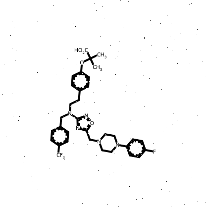 CC(C)(Oc1ccc(CCN(Cc2ccc(C(F)(F)F)cc2)c2noc(CN3CCN(c4ccc(F)cc4)CC3)n2)cc1)C(=O)O